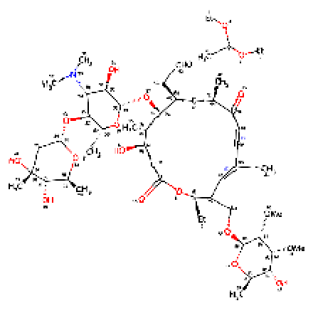 CCOC(C)OCC.CC[C@H]1OC(=O)C[C@@H](O)[C@H](C)[C@@H](O[C@@H]2O[C@H](C)[C@@H](O[C@H]3C[C@@](C)(O)[C@@H](O)[C@H](C)O3)[C@H](N(C)C)[C@H]2O)[C@@H](CC=O)C[C@@H](C)C(=O)/C=C/C(C)=C/C1CO[C@@H]1O[C@H](C)[C@@H](O)[C@@H](OC)[C@H]1OC